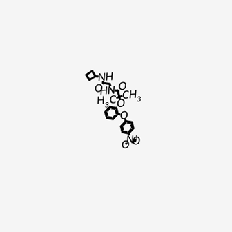 CC(C)(Oc1ccccc1Oc1ccc([N+](=O)[O-])cc1)C(=O)NCC(=O)NC1CCC1